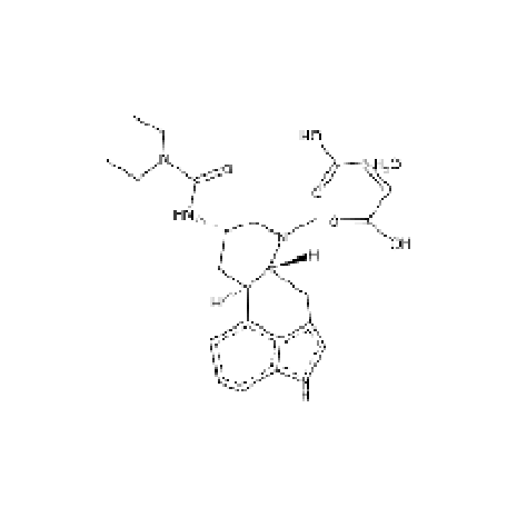 CCN(CC)C(=O)N[C@H]1C[C@@H]2c3cccc4[nH]cc(c34)C[C@H]2N(C)C1.O.O=C(O)/C=C\C(=O)O